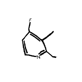 [CH2]c1nccc(F)c1C